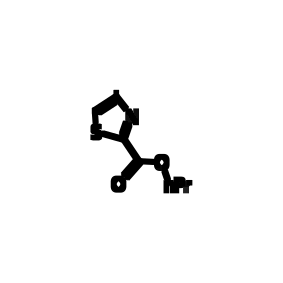 CCCOC(=O)c1n[c]cs1